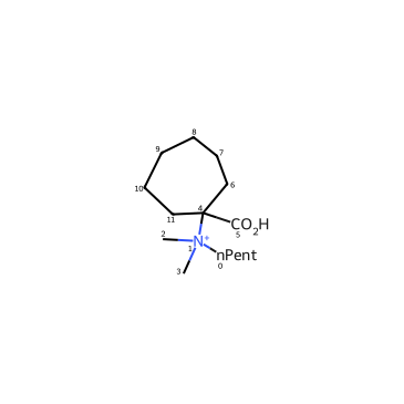 CCCCC[N+](C)(C)C1(C(=O)O)CCCCCC1